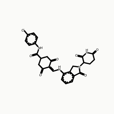 O=C1CCC(N2Cc3c(NC=C4C(=O)CC(C(=O)Nc5ccc(Cl)cc5)CC4=O)cccc3C2=O)C(=O)N1